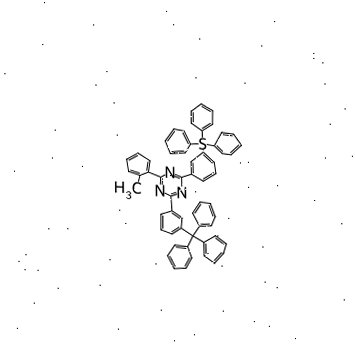 Cc1ccccc1-c1nc(-c2cccc(C(c3ccccc3)(c3ccccc3)c3ccccc3)c2)nc(-c2cccc(S(c3ccccc3)(c3ccccc3)c3ccccc3)c2)n1